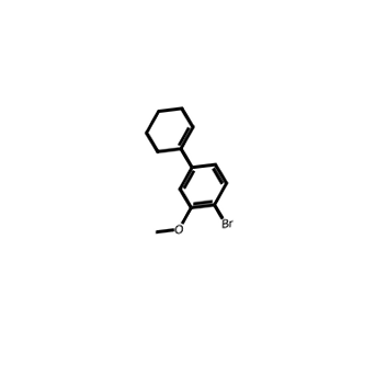 COc1cc(C2=CCCCC2)ccc1Br